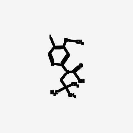 COc1cc(N(CC(C)(C)C)C(=O)O)ncc1I